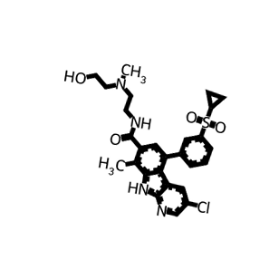 Cc1c(C(=O)NCCN(C)CCO)cc(-c2cccc(S(=O)(=O)C3CC3)c2)c2c1[nH]c1ncc(Cl)cc12